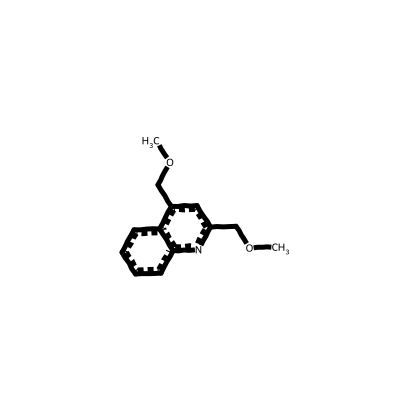 COCc1cc(COC)c2ccccc2n1